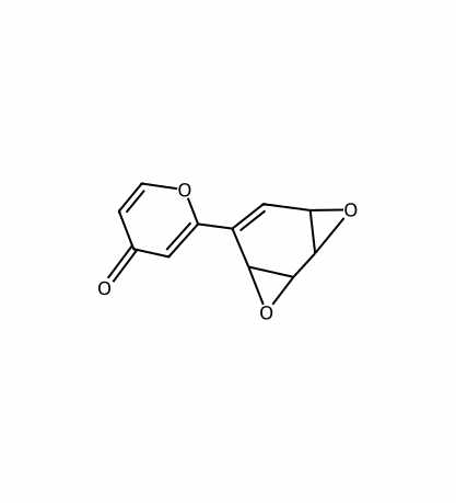 O=c1ccoc(C2=CC3OC3C3OC23)c1